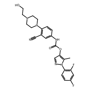 Cc1c(OC(=O)Nc2ccc(N3CCN(CCO)CC3)c(C#N)c2)cnn1-c1ccc(F)cc1F